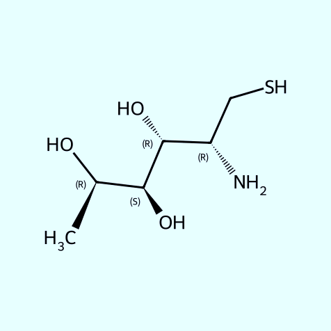 C[C@@H](O)[C@H](O)[C@H](O)[C@@H](N)CS